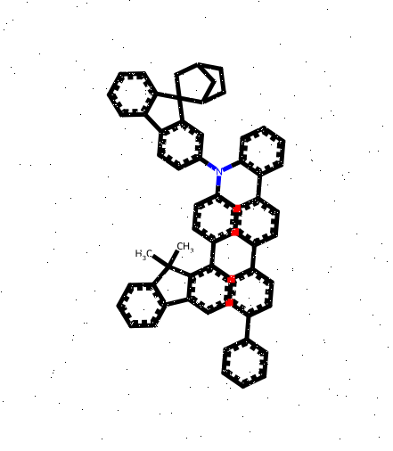 CC1(C)c2ccccc2-c2cccc(-c3ccc(N(c4ccc5c(c4)C4(CC6CCC4C6)c4ccccc4-5)c4ccccc4-c4ccc(-c5ccc(-c6ccccc6)cc5)cc4)cc3)c21